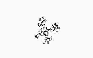 O=C(OCC1OC(n2cc(I)c3c(Cl)ncnc32)C(OC(=O)c2ccccc2)C1OC(=O)c1ccccc1)c1ccccc1